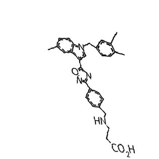 Cc1ccc2c(c1)c(-c1nc(-c3ccc(CNCCC(=O)O)cc3)no1)cn2Cc1ccc(C)c(C)c1